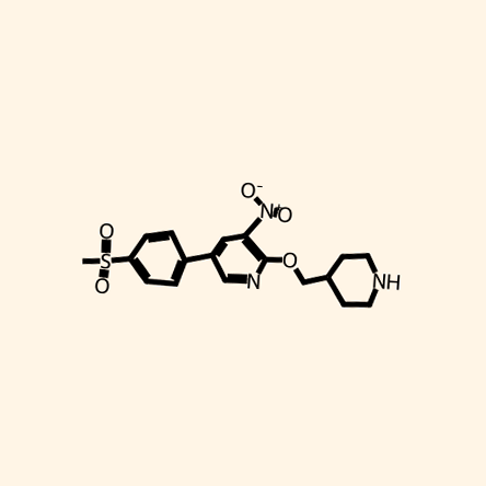 CS(=O)(=O)c1ccc(-c2cnc(OCC3CCNCC3)c([N+](=O)[O-])c2)cc1